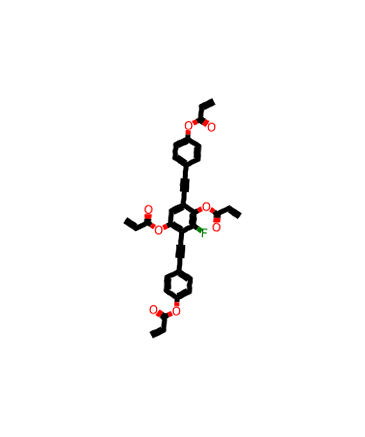 C=CC(=O)Oc1ccc(C#Cc2cc(OC(=O)C=C)c(C#Cc3ccc(OC(=O)C=C)cc3)c(F)c2OC(=O)C=C)cc1